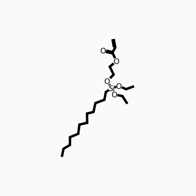 C=CC(=O)OCCO[Si](CCCCCCCCCCCC)(OCC)OCC